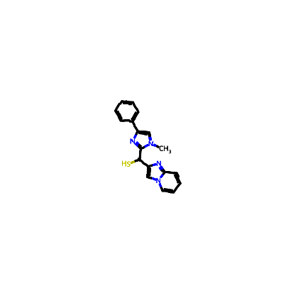 Cn1cc(-c2ccccc2)nc1C(S)c1cn2ccccc2n1